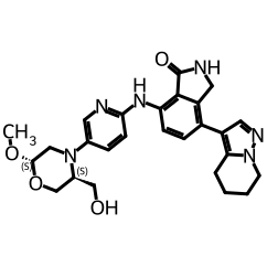 CO[C@@H]1CN(c2ccc(Nc3ccc(-c4cnn5c4CCCC5)c4c3C(=O)NC4)nc2)[C@@H](CO)CO1